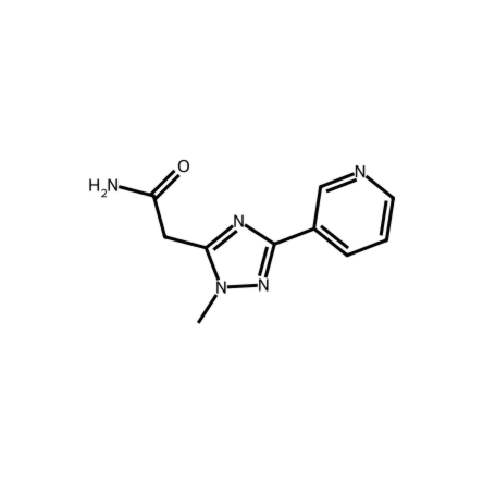 Cn1nc(-c2cccnc2)nc1CC(N)=O